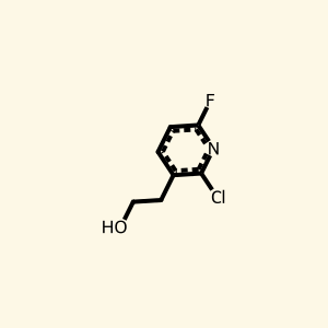 OCCc1ccc(F)nc1Cl